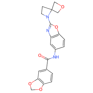 O=C(Nc1ccc2oc(N3CCC34COC4)nc2c1)c1ccc2c(c1)OCO2